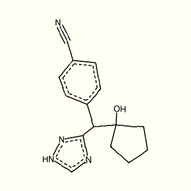 N#Cc1ccc(C(c2nc[nH]n2)C2(O)CCCC2)cc1